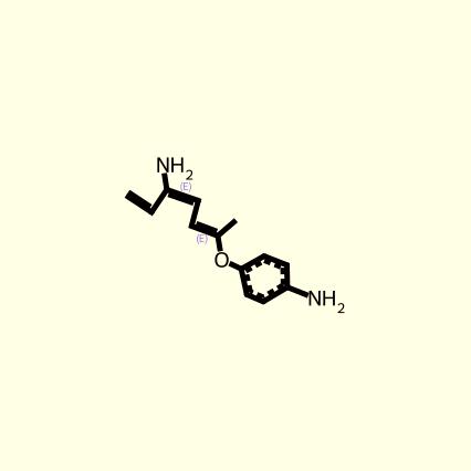 C=C/C(N)=C\C=C(/C)Oc1ccc(N)cc1